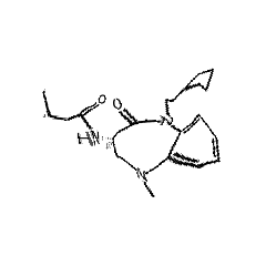 C[CH]C(=O)N[C@H]1CN(C)c2ccccc2N(CC2CC2)C1=O